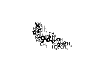 COC(=O)N[C@H](C(=O)N1CCC[C@H]1c1ncc(-c2ccc(-c3ccc(-c4cnc([C@@H]5CCCN5C(=O)[C@@H](NC(=O)OC)C(C)C)[nH]4)c4[nH]c(C)cc34)c3[nH]c(C)cc23)[nH]1)C(C)C